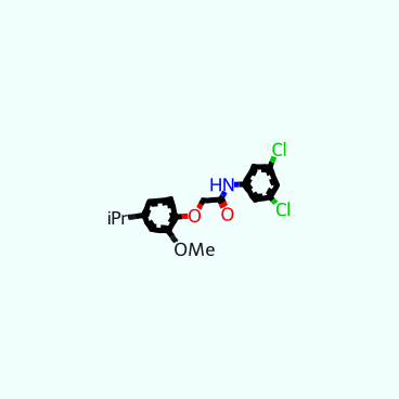 COc1cc(C(C)C)ccc1OCC(=O)Nc1cc(Cl)cc(Cl)c1